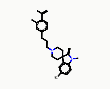 C=C(C)c1ccc(CCCN2CCC3(CC2)C(=C)N(C)c2ccc(C#N)cc23)cc1C